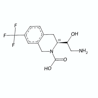 NCC(O)[C@@H]1Cc2ccc(C(F)(F)F)cc2CN1C(=O)O